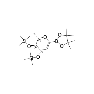 C[C@@H]1OC(B2OC(C)(C)C(C)(C)O2)=C[C@H](O[Si](C)(C)C)[C@H]1O[Si](C)(C)C